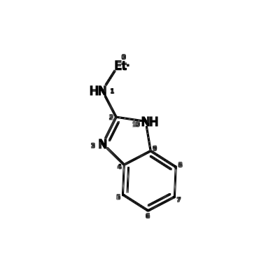 C[CH]Nc1nc2ccccc2[nH]1